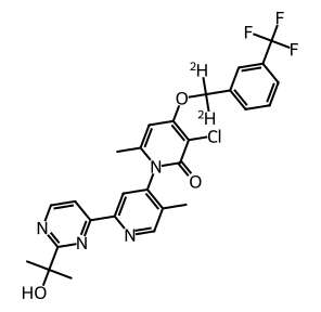 [2H]C([2H])(Oc1cc(C)n(-c2cc(-c3ccnc(C(C)(C)O)n3)ncc2C)c(=O)c1Cl)c1cccc(C(F)(F)F)c1